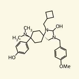 COc1ccc(CN2C[C@]3(CC[C@](c4ccc(O)cc4)(N(C)C)CC3)N(CC3CCC3)C2O)cc1